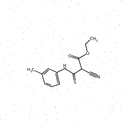 CCOC(=O)C(C#N)C(=S)Nc1cccc(C)c1